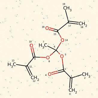 C=C(C)C(=O)OC(C)(OC(=O)C(=C)C)OC(=O)C(=C)C